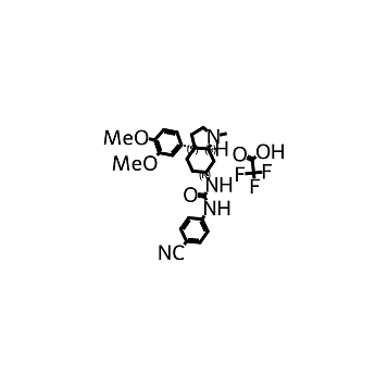 COc1ccc([C@@]23CC[C@@H](NC(=O)Nc4ccc(C#N)cc4)C[C@@H]2N(C)CC3)cc1OC.O=C(O)C(F)(F)F